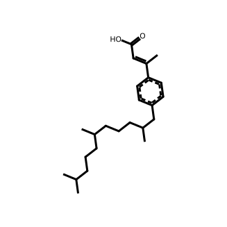 CC(=CC(=O)O)c1ccc(CC(C)CCCC(C)CCCC(C)C)cc1